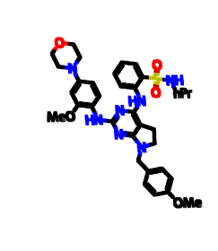 CCCNS(=O)(=O)c1ccccc1Nc1nc(Nc2ccc(N3CCOCC3)cc2OC)nc2c1CCN2Cc1ccc(OC)cc1